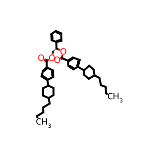 CCCCCC1CCC(c2ccc(C(=O)OC[C@@H](OC(=O)c3ccc(C4CCC(CCCCC)CC4)cc3)c3ccccc3)cc2)CC1